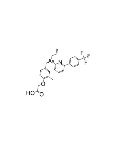 C=CC[As](Cc1ccc(OCC(=O)O)c(C)c1)c1cccc(-c2ccc(C(F)(F)F)cc2)n1